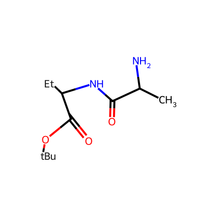 CCC(NC(=O)C(C)N)C(=O)OC(C)(C)C